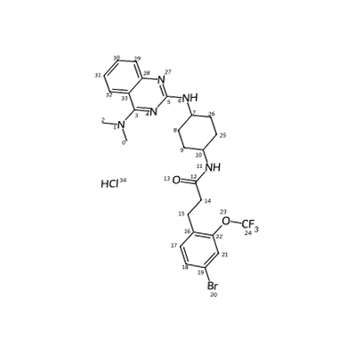 CN(C)c1nc(NC2CCC(NC(=O)CCc3ccc(Br)cc3OC(F)(F)F)CC2)nc2ccccc12.Cl